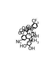 COC(=O)C1=C(C)N(c2cccc(C(F)(F)F)c2)c2n[nH]c(=O)n2C1c1ccc(C#N)cc1C[N+]1(C)CC(O)C(O)C1.O=C[O-]